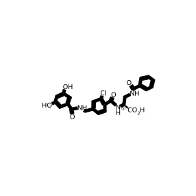 O=C(NCc1ccc(C(=O)N[C@@H](CNC(=O)c2ccccc2)C(=O)O)c(Cl)c1)c1cc(O)cc(O)c1